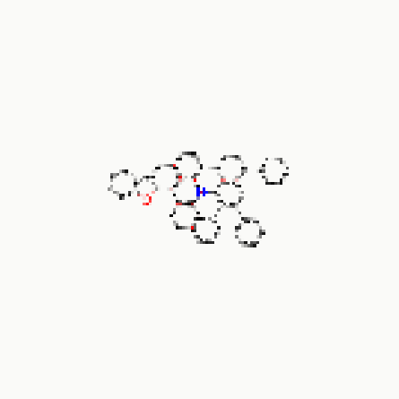 c1ccc(-c2ccc(-c3ccccc3N(c3ccccc3-c3cccc4c3oc3ccccc34)c3cccc(-c4ccccc4)c3-c3ccccc3-c3ccccc3)cc2)cc1